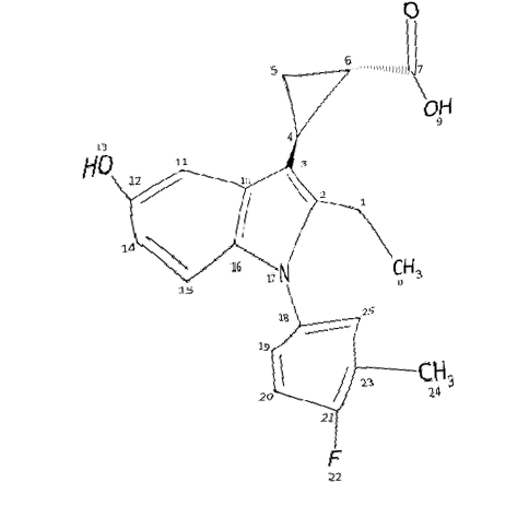 CCc1c([C@H]2C[C@@H]2C(=O)O)c2cc(O)ccc2n1-c1ccc(F)c(C)c1